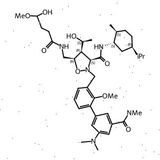 CNC(=O)c1cc(-c2cccc(CN3O[C@@H](CNC(=O)CCC(O)OC)[C@@H]([C@H](C)O)[C@H]3C(=O)N[C@H]3C[C@H](C(C)C)CC[C@@H]3C)c2OC)cc(N(C)C)c1